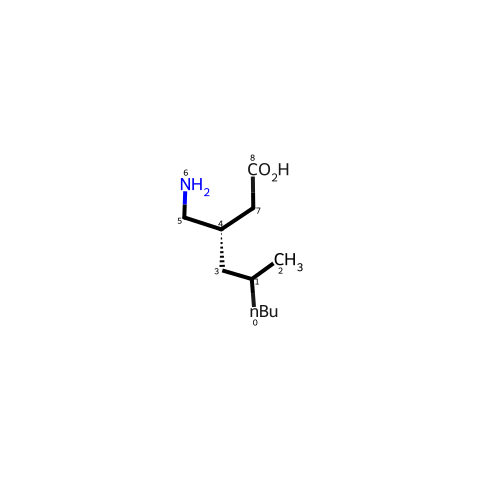 CCCCC(C)C[C@H](CN)CC(=O)O